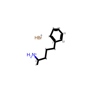 Br.CC(N)CCCc1ccccc1